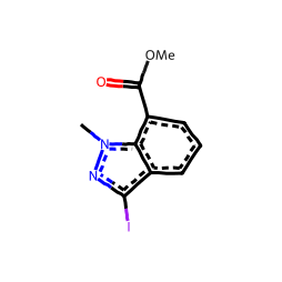 COC(=O)c1cccc2c(I)nn(C)c12